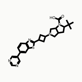 CC(C)(C)C1CC2CN(C3CC(c4nc5ccc(-c6cncnc6)cc5s4)C3)CC2N1C(=O)O